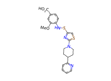 COc1cc(C(=O)O)ccc1NSc1csc(N2CCC(c3ccccn3)CC2)n1